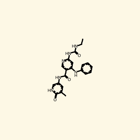 CCNC(=O)Nc1cc(Nc2ccccc2)c(C(=O)Nc2c[nH]c(=O)c(C)c2)cn1